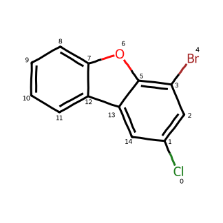 Clc1cc(Br)c2oc3ccccc3c2c1